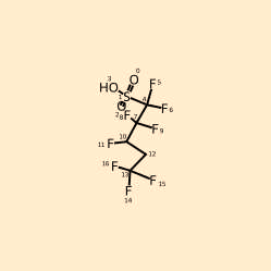 O=S(=O)(O)C(F)(F)C(F)(F)C(F)CC(F)(F)F